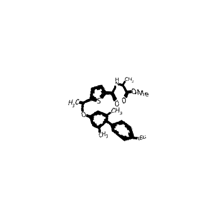 COC(=O)C(C)NC(=O)c1ccc(C(C)Oc2cc(C)c(-c3ccc(C(C)(C)C)cc3)c(C)c2)s1